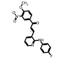 COc1ccc(C(=O)/C=C/c2cccnc2Nc2ccc(F)cc2)cc1[N+](=O)[O-]